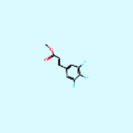 COC(=O)/C=C/c1cc(F)c(F)c(F)c1